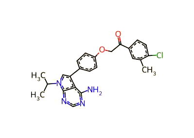 Cc1cc(C(=O)COc2ccc(-c3cn(C(C)C)c4ncnc(N)c34)cc2)ccc1Cl